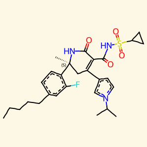 CCCCCc1ccc([C@]2(C)CC(c3ccn(C(C)C)c3)=C(C(=O)NS(=O)(=O)C3CC3)C(=O)N2)c(F)c1